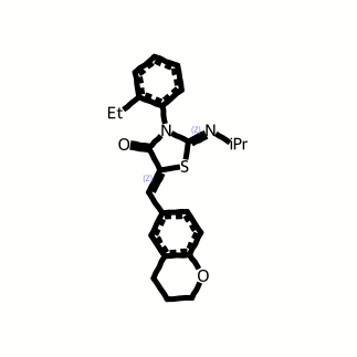 CCc1ccccc1N1C(=O)/C(=C/c2ccc3c(c2)CCCO3)S/C1=N\C(C)C